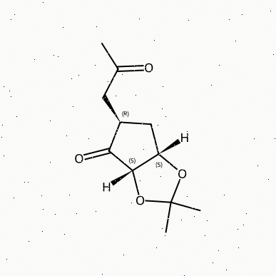 CC(=O)C[C@H]1C[C@@H]2OC(C)(C)O[C@@H]2C1=O